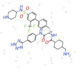 NCC1CCC(C(=O)N[C@@H](Cc2ccc(-c3ccc(S(=O)(=O)NC4CCNCC4)cc3C(F)(F)F)cc2)C(=O)Nc2ccc(-c3nn[nH]n3)cc2)CC1